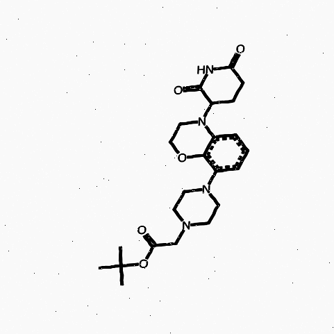 CC(C)(C)OC(=O)CN1CCN(c2cccc3c2OCCN3C2CCC(=O)NC2=O)CC1